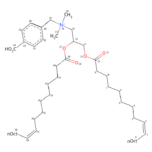 CCCCCCCC/C=C\CCCCCCCC(=O)OCC(C[N+](C)(C)Cc1ccc(C(=O)O)cc1)OC(=O)CCCCCCC/C=C\CCCCCCCC